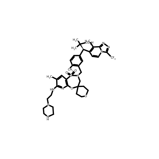 Cc1ccc([C@H](c2ccn3c(C(F)(F)F)nnc3c2C)C(C)(C)C(=O)O)cc1CN1CC2(CCOCC2)Oc2nc(NCCN3CCNCC3)c(C)cc2S1(=O)=O